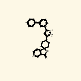 O=C1OC2(CCC(c3cc(-c4cccc(-c5ccccc5)c4)n[nH]3)CC2)c2ccncc21